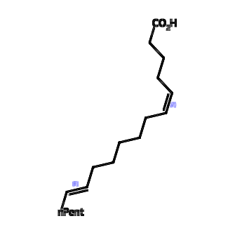 CCCCC/C=C/CCCCC/C=C\CCCC(=O)O